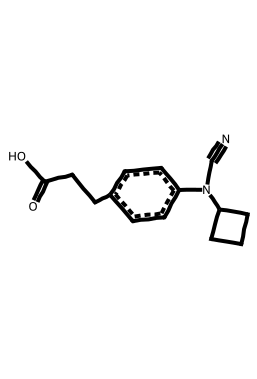 N#CN(c1ccc(CCC(=O)O)cc1)C1CCC1